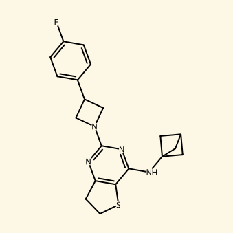 Fc1ccc(C2CN(c3nc4c(c(NC56CC(C5)C6)n3)SCC4)C2)cc1